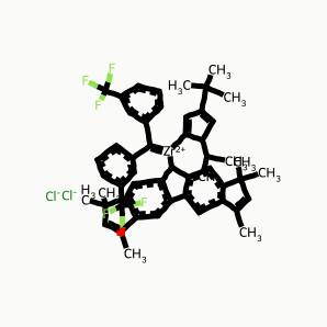 CC1=CC(C)(C)c2cc3c(cc21)-c1cc2c(cc1[CH]3[Zr+2]([C]1=CC(C(C)(C)C)=CC1C(C)C)=[C](c1cccc(C(F)(F)F)c1)c1cccc(C(F)(F)F)c1)C(C)(C)C=C2C.[Cl-].[Cl-]